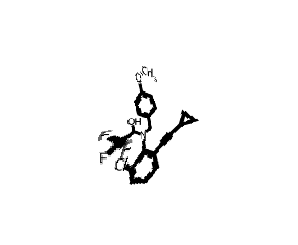 COc1ccc(CN(c2c(Cl)cccc2C#CC2CC2)C(O)C(F)(F)F)cc1